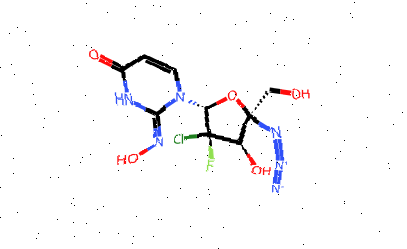 [N-]=[N+]=N[C@]1(CO)O[C@@H](n2ccc(=O)[nH]/c2=N\O)[C@@](F)(Cl)[C@@H]1O